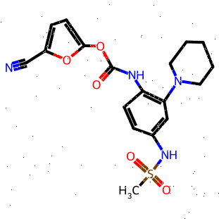 CS(=O)(=O)Nc1ccc(NC(=O)Oc2ccc(C#N)o2)c(N2CCCCC2)c1